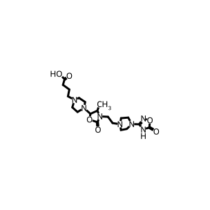 CC1C(N2CCN(CCCC(=O)O)CC2)OC(=O)N1CCN1CCN(c2noc(=O)[nH]2)CC1